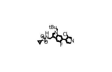 CC(C)(C)Cn1cc(CNS(=O)(=O)C2CC2)c2cc(F)c(-c3ccncc3Cl)cc21